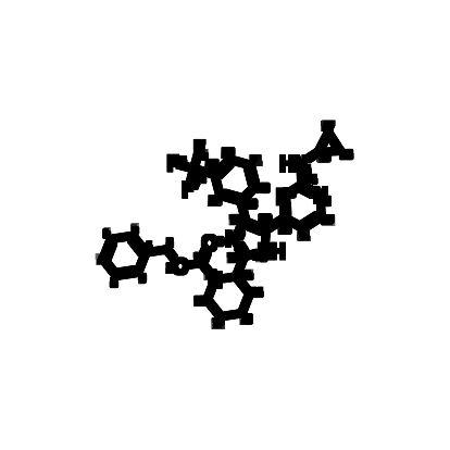 O=C(OCc1ccccc1)N1CCCCC1c1nc(-c2cccc(C(F)(F)F)c2)c(-c2ccnc(NC3CC3)n2)[nH]1